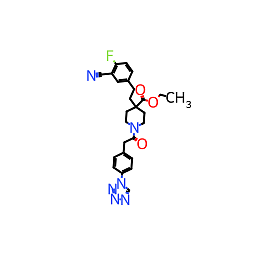 CCOC(=O)C1(CCc2ccc(F)c(C#N)c2)CCN(C(=O)Cc2ccc(-n3cnnn3)cc2)CC1